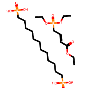 CCOC(=O)/C=C/CP(=O)(OCC)OCC.O=P(O)(O)CCCCCCCCCCCCP(=O)(O)O